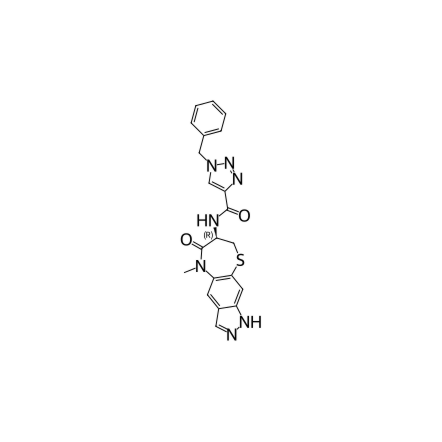 CN1C(=O)[C@@H](NC(=O)c2cn(Cc3ccccc3)nn2)CSc2cc3[nH]ncc3cc21